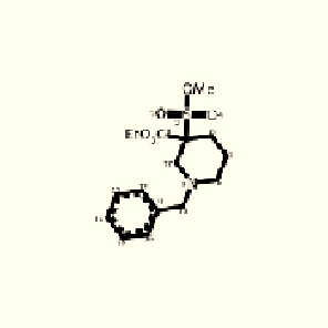 CCOC(=O)C1(S(=O)(=O)OC)CCCN(Cc2ccccc2)C1